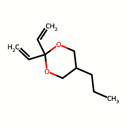 C=CC1(C=C)OCC(CCC)CO1